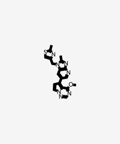 COc1ncnn2ccc(-c3cnc4nc(C)n(Cc5csc(C)n5)c4c3)c12